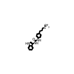 O=C(Nc1ccc(CCCSC(F)(F)F)cc1)Nc1c[nH]c2ccccc12